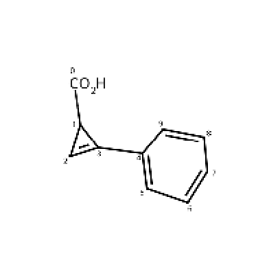 O=C(O)C1C=C1c1ccccc1